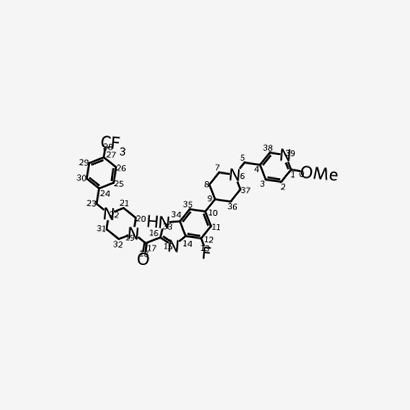 COc1ccc(CN2CCC(c3cc(F)c4nc(C(=O)N5CCN(Cc6ccc(C(F)(F)F)cc6)CC5)[nH]c4c3)CC2)cn1